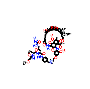 CCOCCC(=O)N[C@H](C(=O)N[C@@H](CCCNC(N)=O)C(=O)Nc1ccc(C[N+](C)(C)CCOc2cc(O)c3nc4c5c6c7c(C)c(O)c5c(=O)c(c-4oc3c2)NC(=O)/C(C)=C\C=C\[C@H](C)[C@H](O)[C@@H](C)[C@@H](O)[C@@H](C)[C@H](OC(C)=O)[C@H](C)[C@@H](OC)/C=C/O[C@@](C)(O7)C6=O)cc1)C(C)C